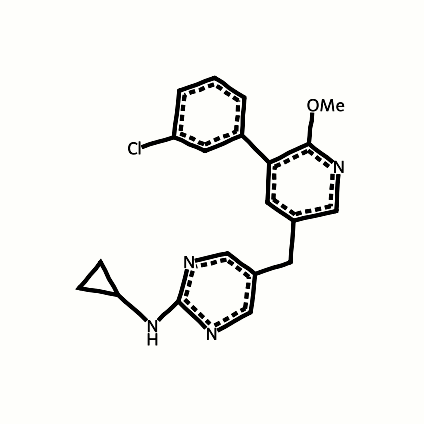 COc1ncc(Cc2cnc(NC3CC3)nc2)cc1-c1cccc(Cl)c1